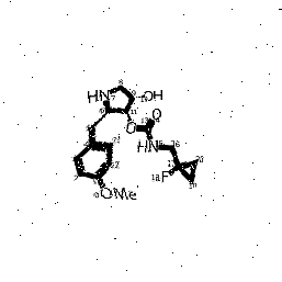 COc1ccc(C[C@H]2NC[C@H](O)[C@H]2OC(=O)NCC2(F)CC2)cc1